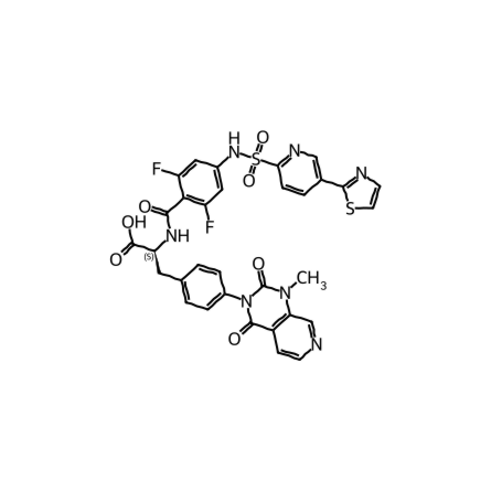 Cn1c(=O)n(-c2ccc(C[C@H](NC(=O)c3c(F)cc(NS(=O)(=O)c4ccc(-c5nccs5)cn4)cc3F)C(=O)O)cc2)c(=O)c2ccncc21